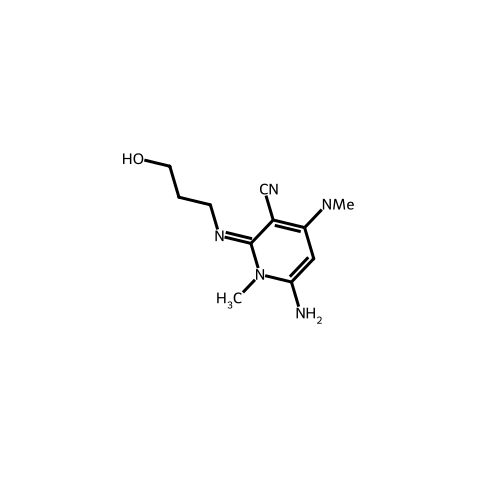 CNc1cc(N)n(C)c(=NCCCO)c1C#N